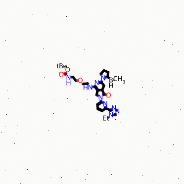 CBC1CCCN1C1=NC(NCCOCCNC(=O)OC(C)(C)C)=C2CN(c3cccc(-c4nncn4CC)n3)C(=O)C2C1